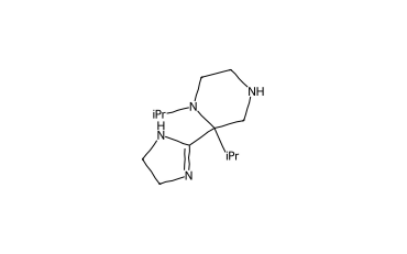 CC(C)N1CCNCC1(C1=NCCN1)C(C)C